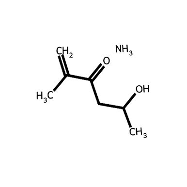 C=C(C)C(=O)CC(C)O.N